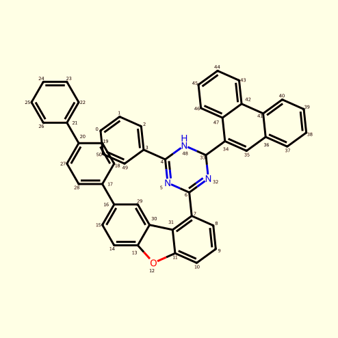 c1ccc(C2=NC(c3cccc4oc5ccc(-c6ccc(-c7ccccc7)cc6)cc5c34)=NC(c3cc4ccccc4c4ccccc34)N2)cc1